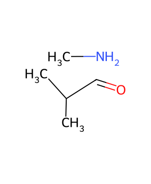 CC(C)C=O.CN